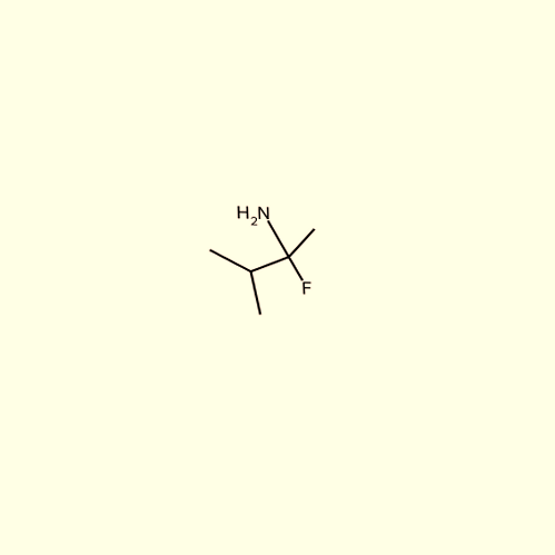 CC(C)C(C)(N)F